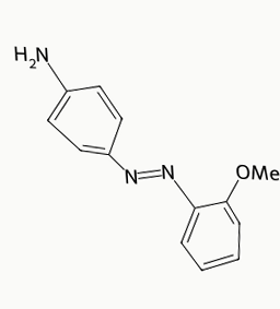 COc1ccccc1N=Nc1ccc(N)cc1